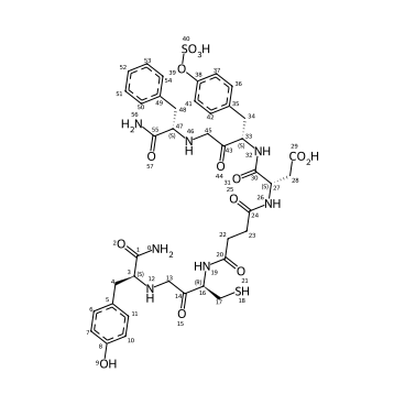 NC(=O)[C@H](Cc1ccc(O)cc1)NCC(=O)[C@H](CS)NC(=O)CCC(=O)N[C@@H](CC(=O)O)C(=O)N[C@@H](Cc1ccc(OS(=O)(=O)O)cc1)C(=O)CN[C@@H](Cc1ccccc1)C(N)=O